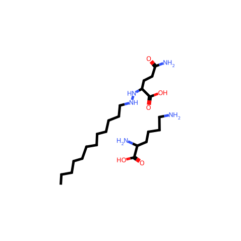 CCCCCCCCCCCCNNC(CCC(N)=O)C(=O)O.NCCCCC(N)C(=O)O